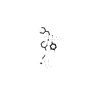 CNC[C@H](CC1CCOCC1)NC(=O)N1CCCC(COCCNC(=O)OC)[C@@H]1c1c(C)ccc(F)c1F